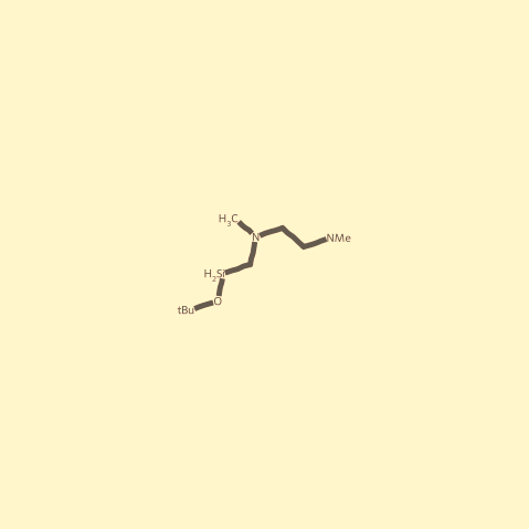 CNCCN(C)C[SiH2]OC(C)(C)C